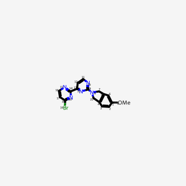 COc1ccc2c(c1)CN(c1nccc(-c3nccc(Br)n3)n1)C2